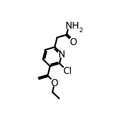 C=C(OCC)c1ccc(CC(N)=O)nc1Cl